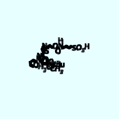 CC(C)(C)[Si](C)(C)Oc1ccc2c(c1)c(-c1cnc(CCOC(=O)NCCCCS(=O)(=O)O)s1)nn2C1CCCCO1